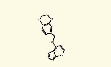 c1cc2sccc(NCc3ccc4c(c3)OCCO4)c-2c1